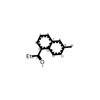 CCC(=O)c1cccc2cc(C)ccc12